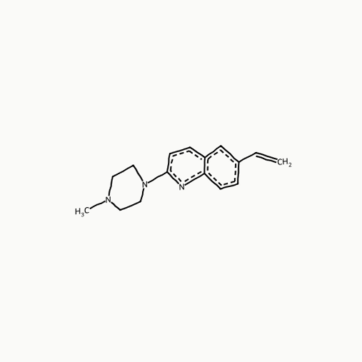 C=Cc1ccc2nc(N3CCN(C)CC3)ccc2c1